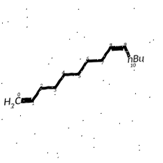 C=CCCCCCC/C=C\CCCC